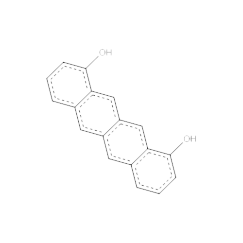 Oc1cccc2cc3cc4cccc(O)c4cc3cc12